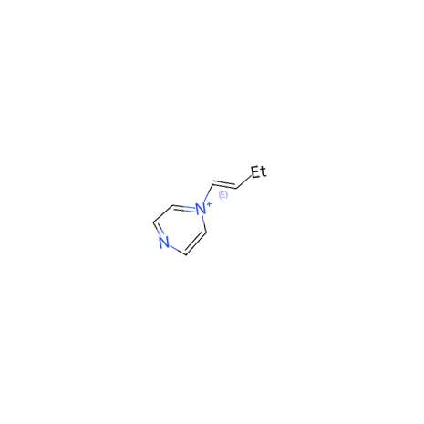 CC/C=C/[n+]1ccncc1